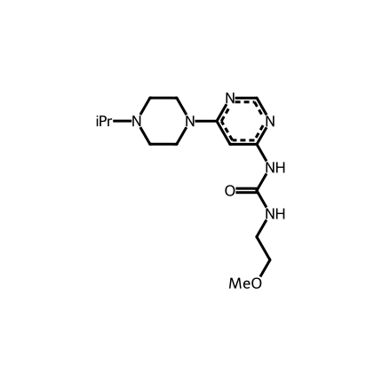 COCCNC(=O)Nc1cc(N2CCN(C(C)C)CC2)ncn1